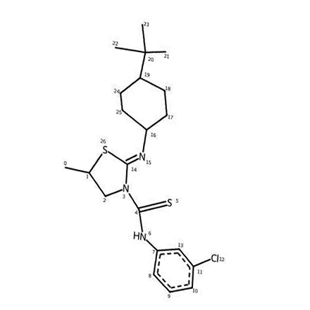 CC1CN(C(=S)Nc2cccc(Cl)c2)C(=NC2CCC(C(C)(C)C)CC2)S1